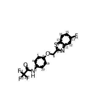 O=C(Nc1ccc(OCc2nc3cc(F)ccc3s2)cc1)C(F)(F)F